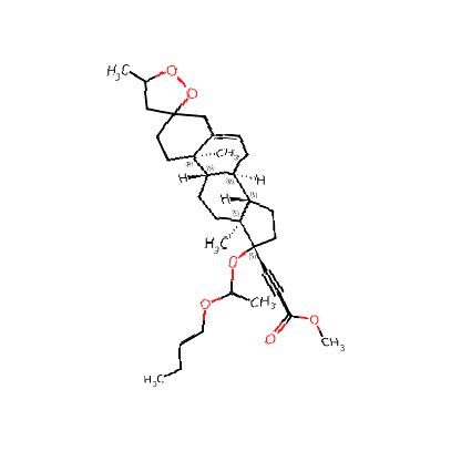 CCCCOC(C)O[C@@]1(C#CC(=O)OC)CC[C@H]2[C@@H]3CC=C4CC5(CC[C@]4(C)[C@H]3CC[C@@]21C)CC(C)OO5